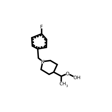 CC(OO)C1CCN(Cc2ccc(F)cc2)CC1